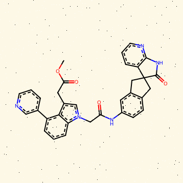 COC(=O)Cc1cn(CC(=O)Nc2ccc3c(c2)CC2(C3)C(=O)Nc3ncccc32)c2cccc(-c3cccnc3)c12